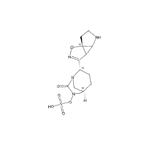 O=C1N2C[C@@H](CC[C@H]2C2=NO[C@]34CCNC3C24)N1OS(=O)(=O)O